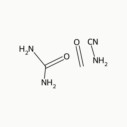 C=O.N#CN.NC(N)=O